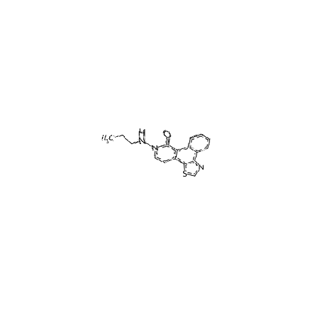 CCCNn1ccc2c3scnc3c3ccccc3c2c1=O